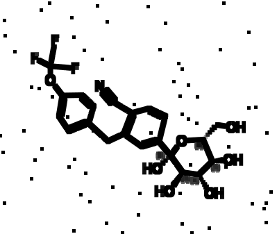 N#Cc1ccc([C@@]2(O)O[C@H](CO)[C@@H](O)[C@H](O)[C@H]2O)cc1Cc1ccc(OC(F)(F)F)cc1